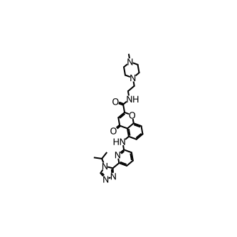 CC(C)n1cnnc1-c1cccc(Nc2cccc3oc(C(=O)NCCN4CCN(C)CC4)cc(=O)c23)n1